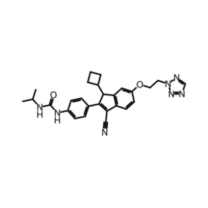 CC(C)NC(=O)Nc1ccc(C2=C(C#N)c3ccc(OCCn4ncnn4)cc3C2C2CCC2)cc1